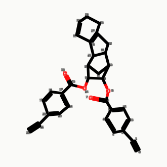 C#Cc1ccc(C(=O)OC2C3CC(C2OC(=O)c2ccc(C#C)cc2)C2C4=C(CCC=C4)CC32)cc1